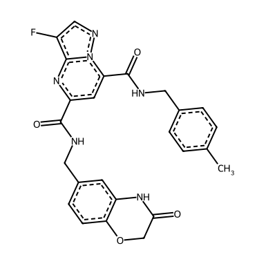 Cc1ccc(CNC(=O)c2cc(C(=O)NCc3ccc4c(c3)NC(=O)CO4)nc3c(F)cnn23)cc1